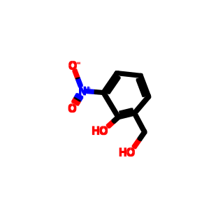 O=[N+]([O-])c1cccc(CO)c1O